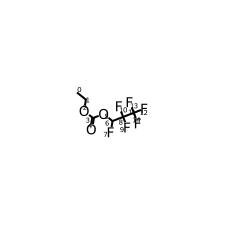 CCOC(=O)OC(F)C(F)(F)C(F)(F)F